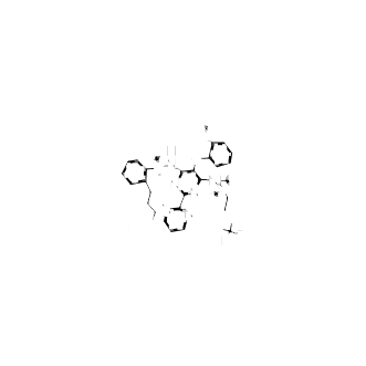 CCCCc1ccccc1S(=O)(=O)Nc1nc(-c2ncccn2)nc(NS(=O)(=O)CCOC(F)(F)F)c1Oc1ccccc1OC